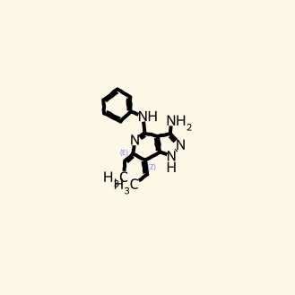 C/C=c1\c(=C/C)nc(Nc2ccccc2)c2c(N)n[nH]c12